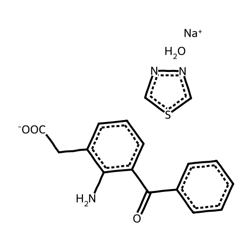 Nc1c(CC(=O)[O-])cccc1C(=O)c1ccccc1.O.[Na+].c1nncs1